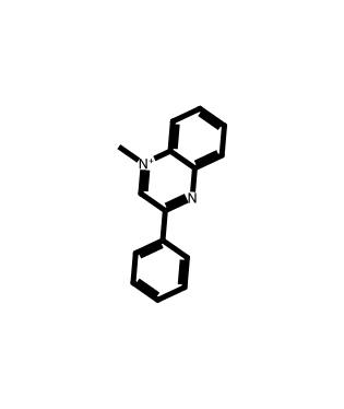 C[n+]1cc(-c2ccccc2)nc2ccccc21